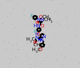 COCC(C)Nc1nn(Cc2ccc(OC)cc2)c2nccc(Oc3ccc(NC(=O)c4cn(C(C)C)c(=O)n(-c5ccc(F)cc5)c4=O)cc3F)c12